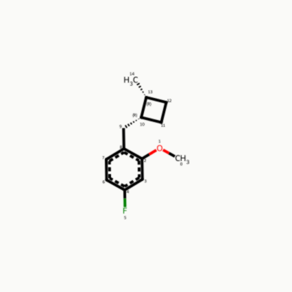 COc1cc(F)ccc1C[C@H]1CC[C@H]1C